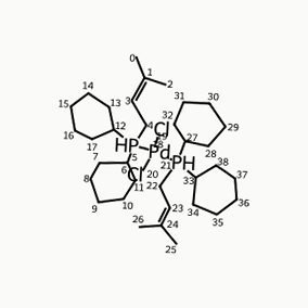 CC(C)=CC[PH](C1CCCCC1)(C1CCCCC1)[Pd]([Cl])([Cl])[PH](CC=C(C)C)(C1CCCCC1)C1CCCCC1